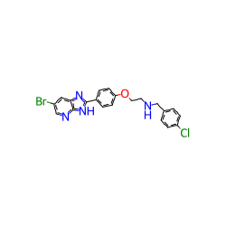 Clc1ccc(CNCCOc2ccc(-c3nc4cc(Br)cnc4[nH]3)cc2)cc1